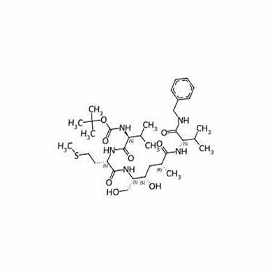 CSCC[C@H](NC(=O)[C@@H](NC(=O)OC(C)(C)C)C(C)C)C(=O)N[C@@H](CO)[C@@H](O)C[C@@H](C)C(=O)N[C@H](C(=O)NCc1ccccc1)C(C)C